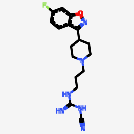 N#CNC(=N)NCCCN1CCC(c2noc3cc(F)ccc23)CC1